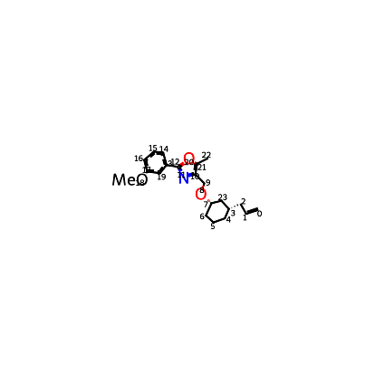 C=CC[C@@H]1CCC[C@H](OCc2nc(-c3cccc(OC)c3)oc2C)C1